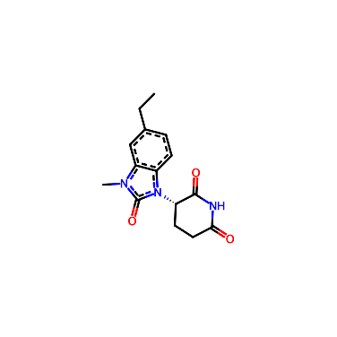 CCc1ccc2c(c1)n(C)c(=O)n2[C@H]1CCC(=O)NC1=O